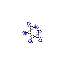 c1ccc(C2CC(c3ccccn3)CC(C3CC(c4ccccn4)CC(C4CC(c5ccccn5)CC(C5CC(c6ccccn6)CC(c6ccccn6)C5)C4)C3)C2)nc1